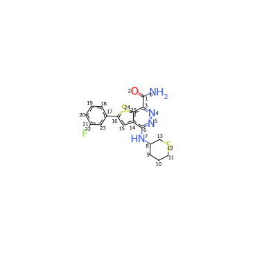 NC(=O)c1nnc(NC2CCCSC2)c2cc(-c3cccc(F)c3)sc12